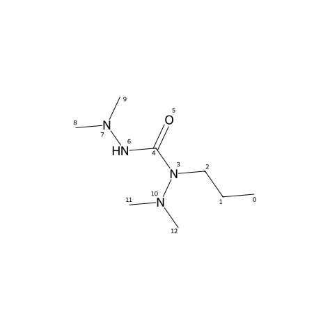 CCCN(C(=O)NN(C)C)N(C)C